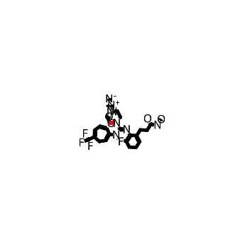 CN1CCN(/C(=N/C2=C(F)CCC=C2CCC(=O)N=O)N(C)C2=CCC(C(F)(F)F)=CC=C2OON=[N+]=[N-])CC1